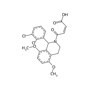 COc1ccc(OC)c2c1CCN(C(=O)/C=C\C(=O)O)C2c1cccc(Cl)c1Cl